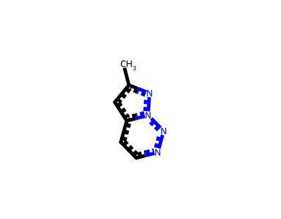 Cc1cc2ccnnn2n1